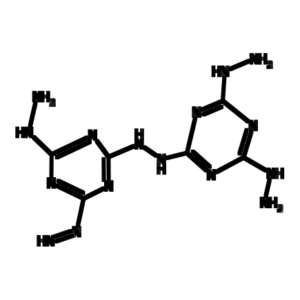 N=Nc1nc(NN)nc(NNc2nc(NN)nc(NN)n2)n1